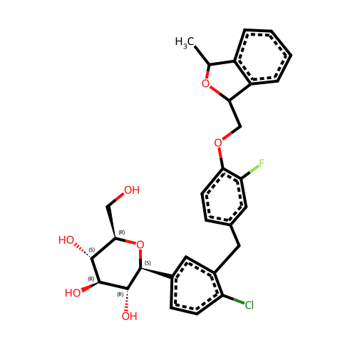 CC1OC(COc2ccc(Cc3cc([C@@H]4O[C@H](CO)[C@@H](O)[C@H](O)[C@H]4O)ccc3Cl)cc2F)c2ccccc21